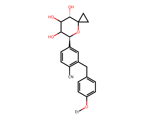 CCOc1ccc(Cc2cc([C@@H]3OC4(CC4)[C@@H](O)C(O)C3O)ccc2C#N)cc1